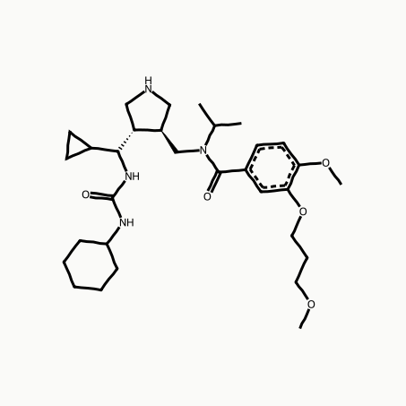 COCCCOc1cc(C(=O)N(C[C@@H]2CNC[C@H]2C(NC(=O)NC2CCCCC2)C2CC2)C(C)C)ccc1OC